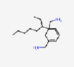 CCCCCC(CC)C1(CN)C=CC=C(CN)C1